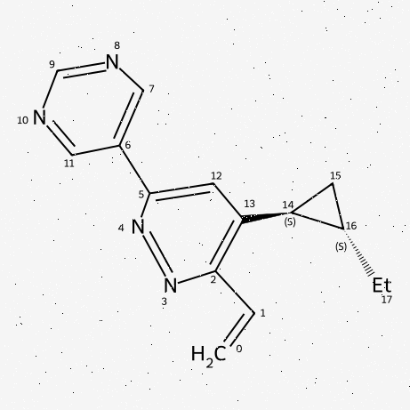 C=Cc1nnc(-c2cncnc2)cc1[C@H]1C[C@@H]1CC